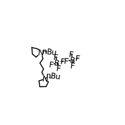 CCCC[N+]1(CCCC[N+]2(CCCC)CCCC2)CCCC1.F[B-](F)(F)F.F[B-](F)(F)F